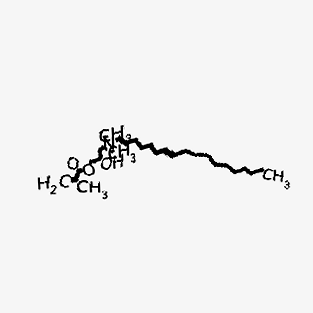 C=C(C)C(=O)OCC(O)C[N+](C)(C)CCCCCCCCCCCCCCCCCC